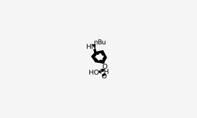 CCCCNc1ccc(O[PH](=O)O)cc1